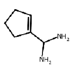 NC(N)C1=CCCC1